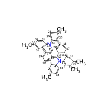 CC1=CCC(N(C2=CC(C)C(C)C=C2)c2c3ccccc3c(N(c3ccc(C)cc3)c3ccc(C)cc3)c3ccccc23)C=C1